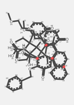 CCC(NC(=O)O)(c1c(OCc2ccccc2)c(=O)ccn1CCOC)C([N+](=O)[O-])(C(CC)(NC(=O)O)c1c(OCc2ccccc2)c(=O)ccn1CCOC)C(CC)(NC(=O)O)c1c(OCc2ccccc2)c(=O)ccn1CCOC